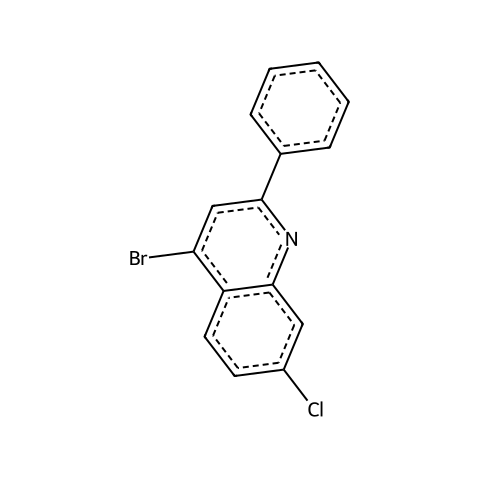 Clc1ccc2c(Br)cc(-c3ccccc3)nc2c1